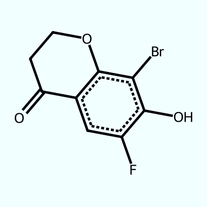 O=C1CCOc2c1cc(F)c(O)c2Br